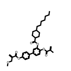 C=C(C)C(=O)Oc1ccc(-c2ccc(OC(=O)C(=C)COC)cc2)cc1OC(=O)C1CCC(CCCCCCC)CC1